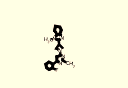 Cc1nc(-c2ccccc2F)cc(N2CC(c3nc4ccccc4n3C)C2)n1